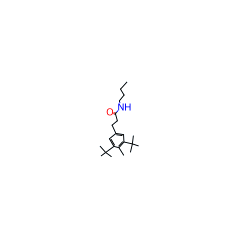 CCCCNC(=O)CCc1cc(C(C)(C)C)c(C)c(C(C)(C)C)c1